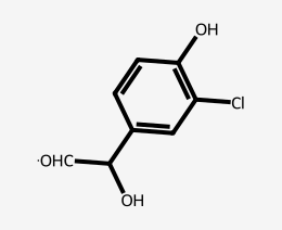 O=[C]C(O)c1ccc(O)c(Cl)c1